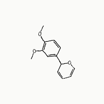 COc1ccc(C2C=CC=CO2)cc1OC